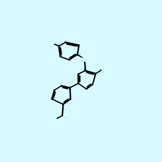 O=C(O)c1ccc(-c2cccc(CO)c2)cc1Nc1ccc(F)cc1